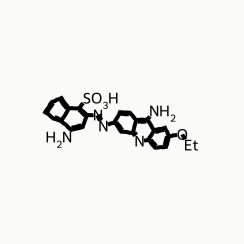 CCOc1ccc2nc3cc(N=Nc4cc(N)c5ccccc5c4S(=O)(=O)O)ccc3c(N)c2c1